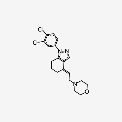 Clc1ccc(-n2ncc3c2CCC/C3=C\CN2CCOCC2)cc1Cl